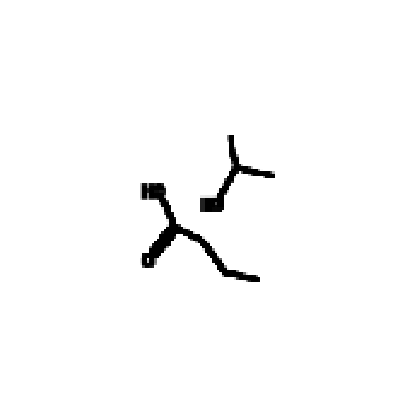 CC(C)O.CCCC(=O)O